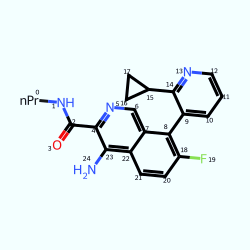 CCCNC(=O)c1ncc2c(-c3cccnc3C3CC3)c(F)ccc2c1N